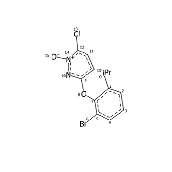 CC(C)c1cccc(Br)c1Oc1ccc(Cl)[n+]([O-])n1